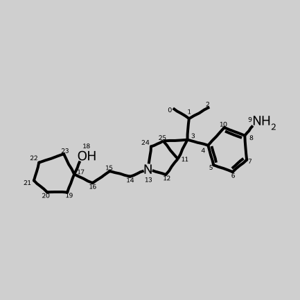 CC(C)C1(c2cccc(N)c2)C2CN(CCCC3(O)CCCCC3)CC21